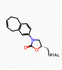 CC(=O)NC[C@H]1CN(c2ccc3c(c2)CC=CCC3)C(=O)O1